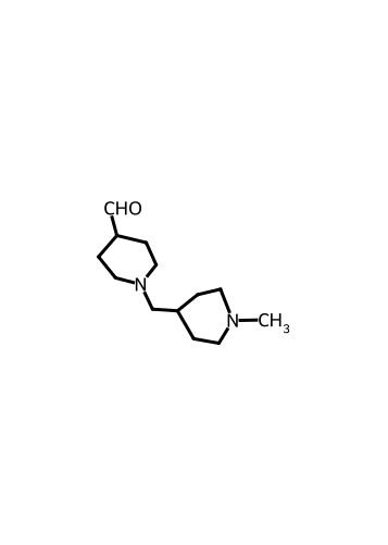 CN1CCC(CN2CCC(C=O)CC2)CC1